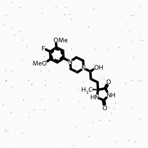 COc1cc(N2CCN(C(O)CC[C@@]3(C)NC(=O)NC3=O)CC2)cc(OC)c1F